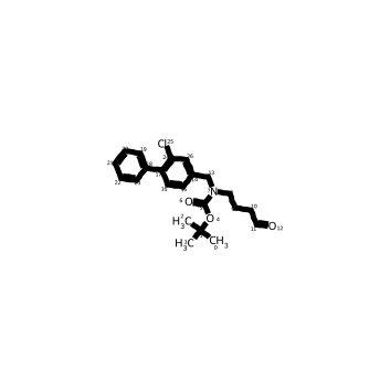 CC(C)(C)OC(=O)N(CCCC=O)Cc1ccc(-c2ccccc2)c(Cl)c1